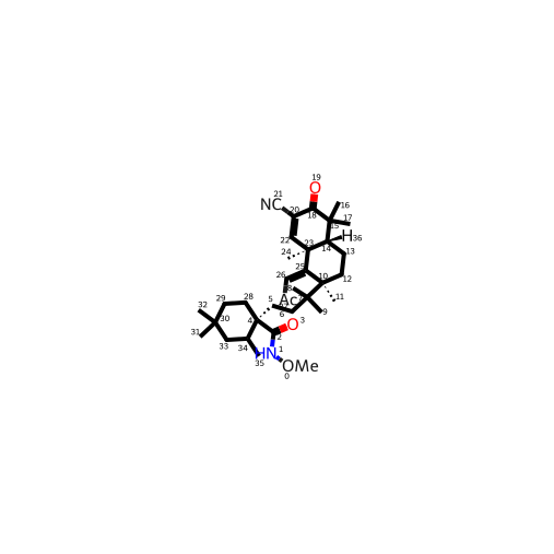 CONC(=O)[C@]1(CCC(C)(C)[C@]2(C)CC[C@H]3C(C)(C)C(=O)C(C#N)=C[C@]3(C)/C2=C/C(C)=O)CCC(C)(C)CC1C